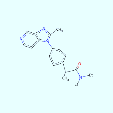 CCN(CC)C(=O)C(C)c1ccc(-n2c(C)nc3cnccc32)cc1